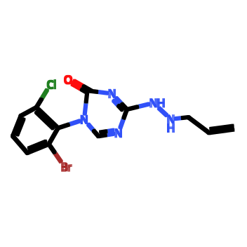 C=CCNNc1ncn(-c2c(Cl)cccc2Br)c(=O)n1